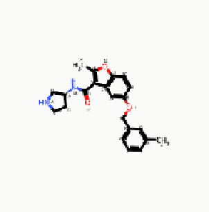 Cc1cccc(COc2ccc3oc(C)c(C(=O)N[C@H]4CCNC4)c3c2)c1